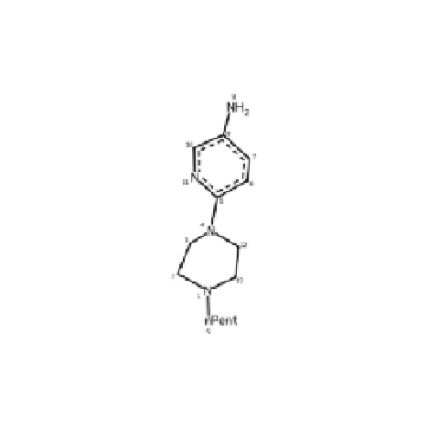 CCCCCN1CCN(c2ccc(N)cn2)CC1